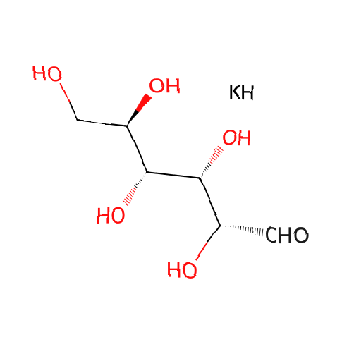 O=C[C@H](O)[C@@H](O)[C@H](O)[C@H](O)CO.[KH]